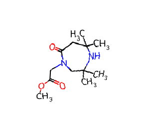 COC(=O)CN1CC(C)(C)NC(C)(C)CC1=O